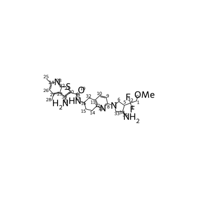 COCC(F)(F)C1CN(c2ccc3c(n2)CCC(NC(=O)c2sc4nc(C)cc(C)c4c2N)C3)CC1N